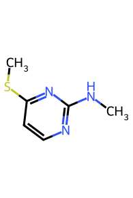 CNc1nccc(SC)n1